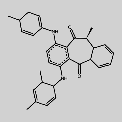 CC1=CC(C)C(Nc2ccc(NC3=CCC(C)C=C3)c3c2C(=O)C2C=CC=CC2[C@H](C)C3=O)C=C1